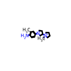 Cc1cc(N2CCC([N+]3(C)CCCC3)C2)ccc1N